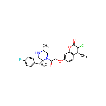 Cc1c(Cl)c(=O)oc2cc(OCC(=O)N3C[C@@H](C)NC[C@]3(C)Cc3ccc(F)cc3)ccc12